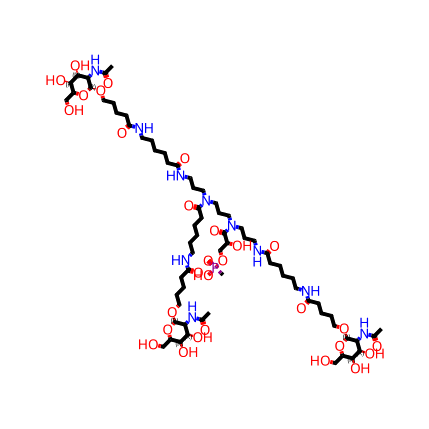 CC(=O)NC1[C@H](OCCCCC(=O)NCCCCCC(=O)NCCCN(CCCN(CCCNC(=O)CCCCCNC(=O)CCCCO[C@@H]2OC(CO)[C@H](O)[C@H](O)C2NC(C)=O)C(=O)C(O)COP(C)(=O)O)C(=O)CCCCCNC(=O)CCCCO[C@@H]2OC(CO)[C@H](O)[C@H](O)C2NC(C)=O)OC(CO)[C@H](O)[C@@H]1O